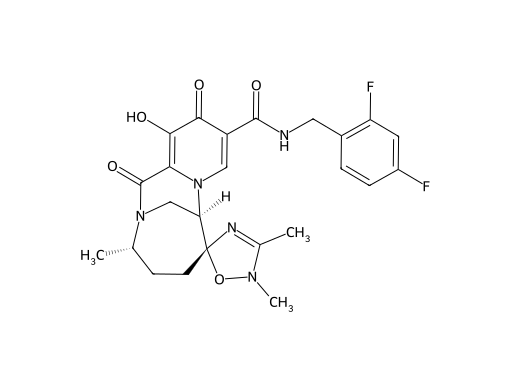 CC1=N[C@]2(CC[C@H](C)N3C[C@H]2n2cc(C(=O)NCc4ccc(F)cc4F)c(=O)c(O)c2C3=O)ON1C